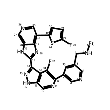 CCNCc1cncc(-c2ncc3[nH]nc(-c4nc5c(-c6ccc(F)s6)cncc5[nH]4)c3c2F)c1